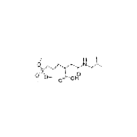 CO[Si](CCCC(CC(=O)NCC(C)C)C(=O)O)(OC)OC